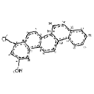 Oc1cc(Cl)c2ccc3c(ccc4c5ccccc5ccc43)c2c1